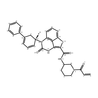 C=CC(=O)N1CCCC(NC(=O)c2sc3nccc4c3c2NC(=O)N4[C@]2(F)C=CC=C(c3ccccc3)C2)C1